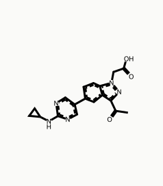 CC(=O)c1nn(CC(=O)O)c2ccc(-c3cnc(NC4CC4)nc3)cc12